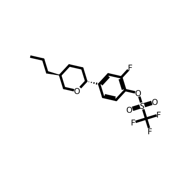 CCC[C@H]1CC[C@H](c2ccc(OS(=O)(=O)C(F)(F)F)c(F)c2)OC1